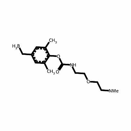 BCc1cc(C)c(OC(=O)NCCOCCNC)c(C)c1